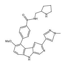 COc1ccc2[nH]c3cnc(-c4cnn(C)c4)cc3c2c1-c1ccc(C(=O)NCC2CCCN2)cc1